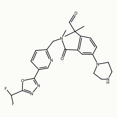 CN(Cc1ccc(-c2nnc(C(F)F)o2)cn1)C(=O)c1cc(N2CCNCC2)ccc1C(C)(C)C=O